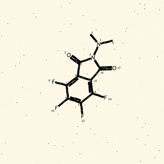 CN(C)N1C(=O)c2c(F)c(F)c(F)c(F)c2C1=O